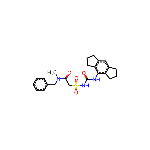 CN(Cc1ccccc1)C(=O)CS(=O)(=O)NC(=O)Nc1c2c(cc3c1CCC3)CCC2